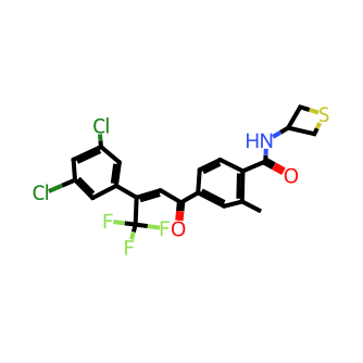 Cc1cc(C(=O)/C=C(/c2cc(Cl)cc(Cl)c2)C(F)(F)F)ccc1C(=O)NC1CSC1